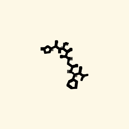 CCC[C@H](NC(=O)[C@H]1CCNC1)C(=O)C(=O)NCC(=O)N[C@H](C(=O)N(C)C)c1ccccc1